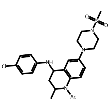 CC(=O)N1c2ccc(N3CCN(S(C)(=O)=O)CC3)cc2C(Nc2ccc(Cl)cc2)CC1C